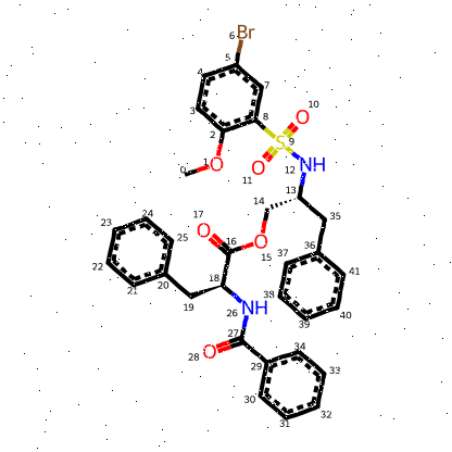 COc1ccc(Br)cc1S(=O)(=O)N[C@@H](COC(=O)[C@H](Cc1ccccc1)NC(=O)c1ccccc1)Cc1ccccc1